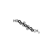 Cc1ccc2cc(C(=O)Oc3ccc(OC(=O)c4ccc5cc(O)ccc5c4)cc3)ccc2c1